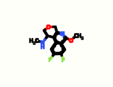 CNC1COCc2nc(OC)c3cc(F)c(F)cc3c21